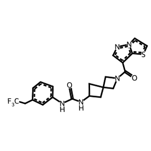 O=C(Nc1cccc(CC(F)(F)F)c1)NC1CC2(C1)CN(C(=O)c1cnn3ccsc13)C2